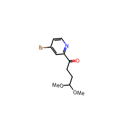 COC(CCC(=O)c1cc(Br)ccn1)OC